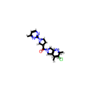 Cc1ccnc(N2CCC(C(=O)N3Cc4nc(C)c(Cl)c(C)c4C3)C2)n1